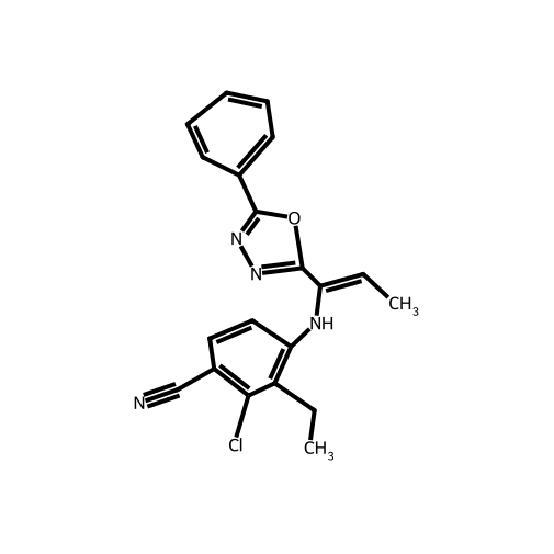 C/C=C(\Nc1ccc(C#N)c(Cl)c1CC)c1nnc(-c2ccccc2)o1